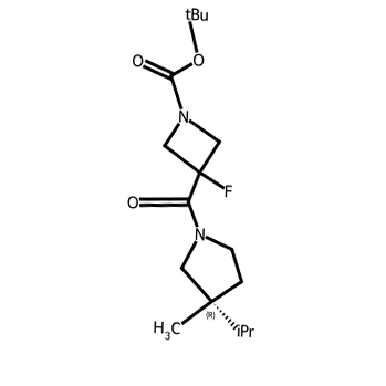 CC(C)[C@@]1(C)CCN(C(=O)C2(F)CN(C(=O)OC(C)(C)C)C2)C1